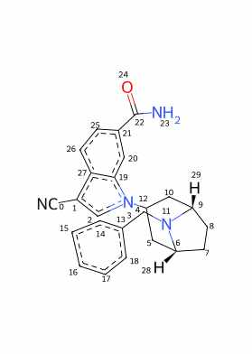 N#Cc1cn(C2C[C@H]3CC[C@@H](C2)N3Cc2ccccc2)c2cc(C(N)=O)ccc12